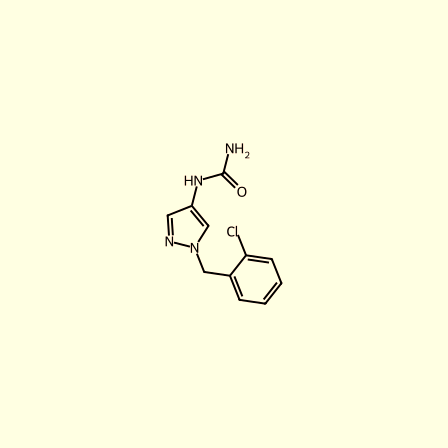 NC(=O)Nc1cnn(Cc2ccccc2Cl)c1